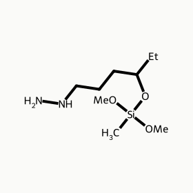 CCC(CCCNN)O[Si](C)(OC)OC